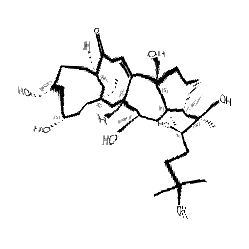 CC(C)(O)CC[C@@H](O)[C@](C)(O)[C@H]1CC[C@@]2(O)C3=CC(=O)[C@@H]4C[C@@H](O)[C@@H](O)C[C@]4(C)[C@H]3[C@H](O)C[C@]12C